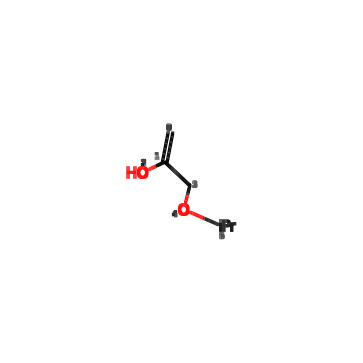 C=C(O)COC(C)C